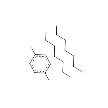 CC(C)CCCCCO.CC(C)CCCCCO.O=C(O)c1ccc(C(=O)O)cc1